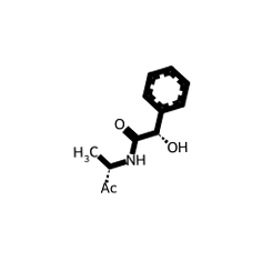 CC(=O)[C@H](C)NC(=O)[C@@H](O)c1ccccc1